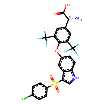 N[C@@H](C(=O)O)c1cc(C(F)(F)F)c(Oc2ccc3[nH]cc(S(=O)(=O)c4ccc(Cl)cc4)c3c2)c(C(F)(F)F)c1